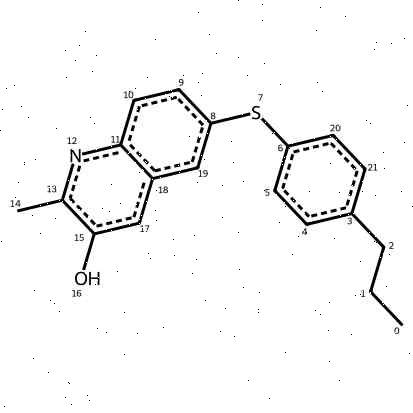 CCCc1ccc(Sc2ccc3nc(C)c(O)cc3c2)cc1